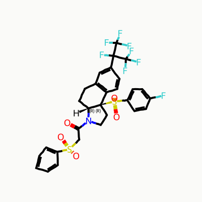 O=C(CS(=O)(=O)c1ccccc1)N1CC[C@@]2(S(=O)(=O)c3ccc(F)cc3)c3ccc(C(F)(C(F)(F)F)C(F)(F)F)cc3CC[C@@H]12